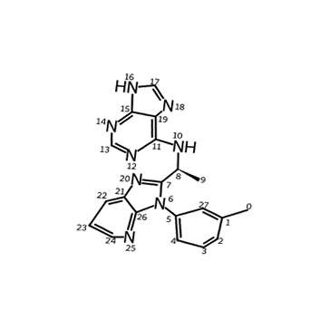 Cc1cccc(-n2c([C@H](C)Nc3ncnc4[nH]cnc34)nc3cccnc32)c1